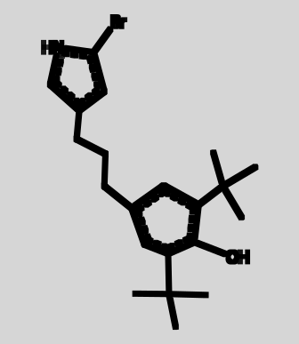 CC(C)(C)c1cc(CCCc2c[nH]c(Br)c2)cc(C(C)(C)C)c1O